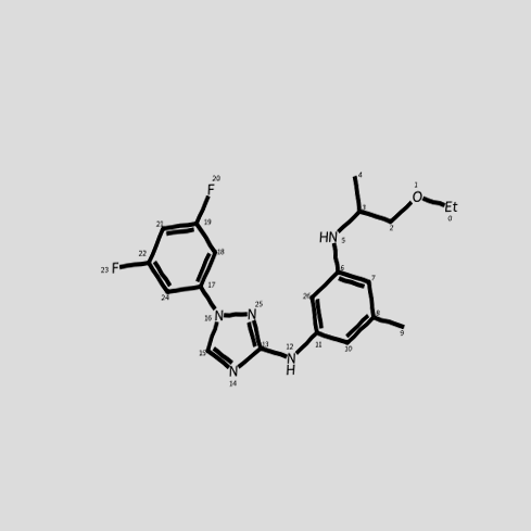 CCOCC(C)Nc1cc(C)cc(Nc2ncn(-c3cc(F)cc(F)c3)n2)c1